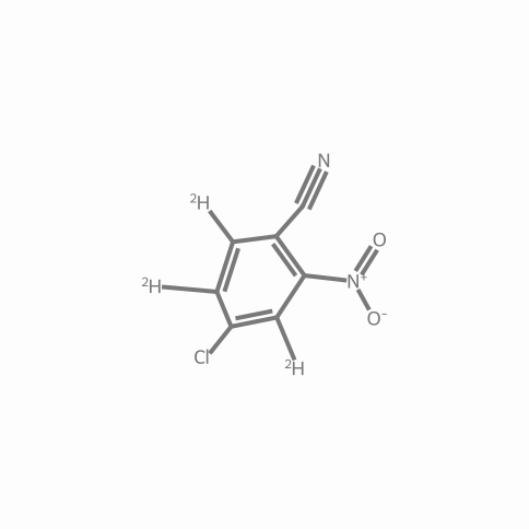 [2H]c1c([2H])c(C#N)c([N+](=O)[O-])c([2H])c1Cl